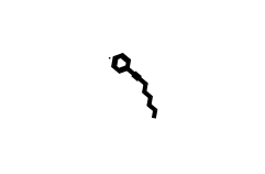 CCCCCCC#Cc1cc[c]cc1